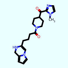 Cn1ccnc1C(=O)C1CCN(C(=O)CCCC2=Cn3cccc3CN2)CC1